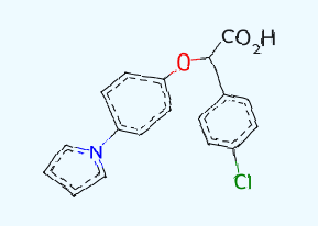 O=C(O)C(Oc1ccc(-n2cccc2)cc1)c1ccc(Cl)cc1